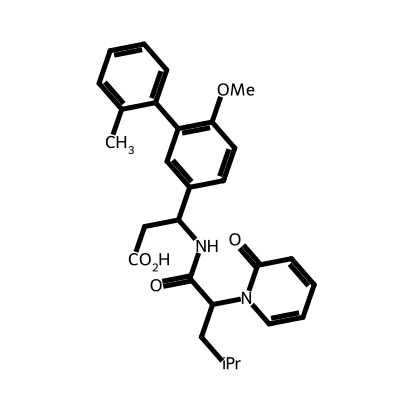 COc1ccc(C(CC(=O)O)NC(=O)C(CC(C)C)n2ccccc2=O)cc1-c1ccccc1C